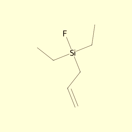 C=CC[Si](F)(CC)CC